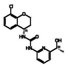 C[C@@H](O)c1cccc(NC(=O)N[C@H]2CCOc3c(Cl)cccc32)n1